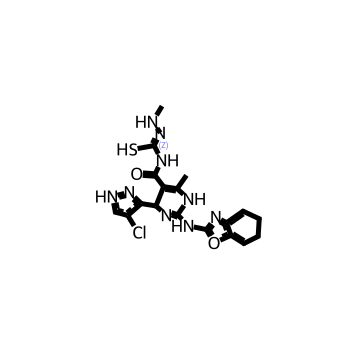 CN/N=C(\S)NC(=O)C1=C(C)NC(Nc2nc3c(o2)=CCCC=3)=NC1c1n[nH]cc1Cl